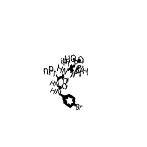 CCC[C@H](NC(=O)Nc1ccc(Br)cc1)C(=O)NC(C(C)C)(C(C)C)P(=O)(O)O